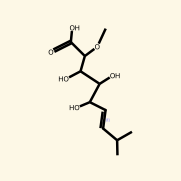 COC(C(=O)O)C(O)C(O)C(O)/C=C/C(C)C